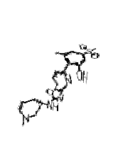 Cc1cc(S(C)(=O)=O)cc(O)c1-c1ccc2oc(N[C@@H]3CCCN(C)C3)nc2n1